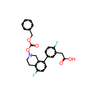 O=C(O)Cc1cc(-c2ccc(F)c3c2CN(OC(=O)OCc2ccccc2)CC3)ccc1F